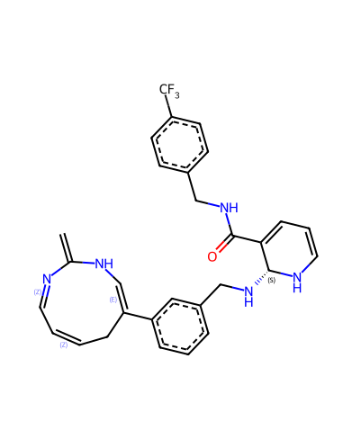 C=C1/N=C\C=C/C/C(c2cccc(CN[C@H]3NC=CC=C3C(=O)NCc3ccc(C(F)(F)F)cc3)c2)=C\N1